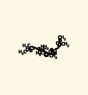 C=C(CSCCOC(=O)NC(C)(C)c1cccc(C(C)(C)NC(=O)OCCSCC(=C)C(=O)OCC)c1)C(=O)OCC